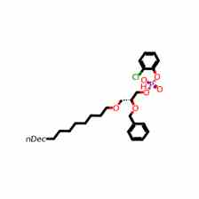 CCCCCCCCCCCCCCCCCCOC[C@H](COP(=O)(O)Oc1ccccc1Cl)OCc1ccccc1